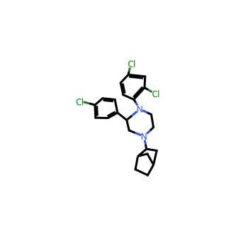 Clc1ccc(C2CN(C3CC4CCC3C4)CCN2c2ccc(Cl)cc2Cl)cc1